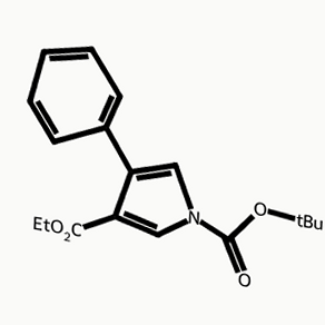 CCOC(=O)c1cn(C(=O)OC(C)(C)C)cc1-c1ccccc1